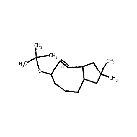 CC1(C)CC2/C=C/C(OC(C)(C)C)CCCC2C1